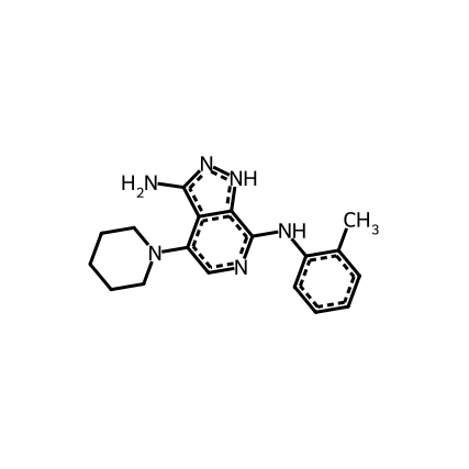 Cc1ccccc1Nc1ncc(N2CCCCC2)c2c(N)n[nH]c12